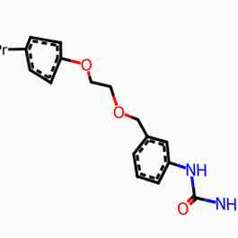 CCCc1ccc(OCCOCc2cccc(NC(N)=O)c2)cc1